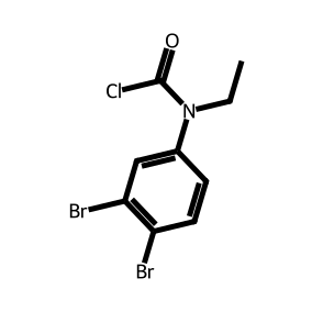 CCN(C(=O)Cl)c1ccc(Br)c(Br)c1